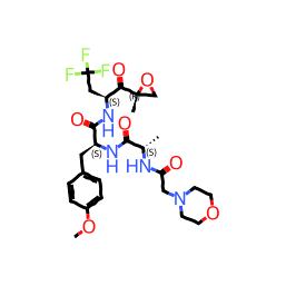 COc1ccc(C[C@H](NC(=O)[C@H](C)NC(=O)CN2CCOCC2)C(=O)N[C@@H](CC(F)(F)F)C(=O)[C@@]2(C)CO2)cc1